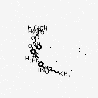 CCCCCCOC(=O)NC(=N)c1ccc(NCc2nc3cc(C(=O)N(CCC(=O)OCC[C@@](N)(C(=O)O)C(C)C)c4ccccn4)ccc3n2C)cc1